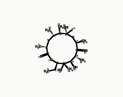 CC[C@H]1OC(=O)[C@H](C)C[C@H](C)[C@@H](C)[C@@](O)(I)C[C@@H](C)C(=N)[C@H](C)[C@@H](O)[C@]1(C)O